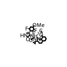 COc1cc(F)c([C@@H]2CNC(=O)[C@H]2NC(=O)NC2(c3ccc4cccc(OCC(F)(F)F)c4n3)CC2)c(F)c1